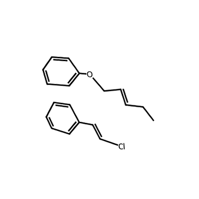 CCC=CCOc1ccccc1.ClC=Cc1ccccc1